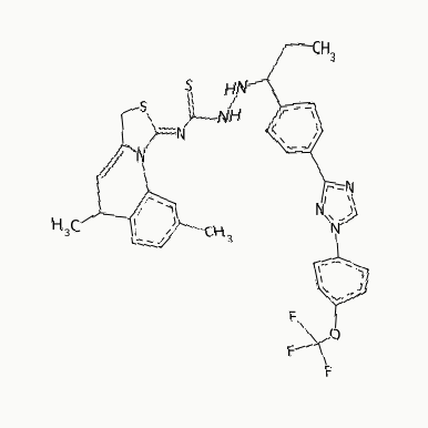 CCC(NNC(=S)/N=C1\SCC2=CC(C)c3ccc(C)cc3N21)c1ccc(-c2ncn(-c3ccc(OC(F)(F)F)cc3)n2)cc1